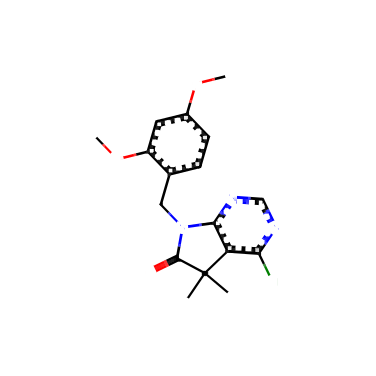 COc1ccc(CN2C(=O)C(C)(C)c3c(Cl)ncnc32)c(OC)c1